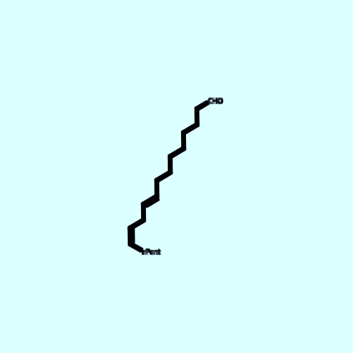 CCCCC/C=C\CC=CCCCCCCCC=O